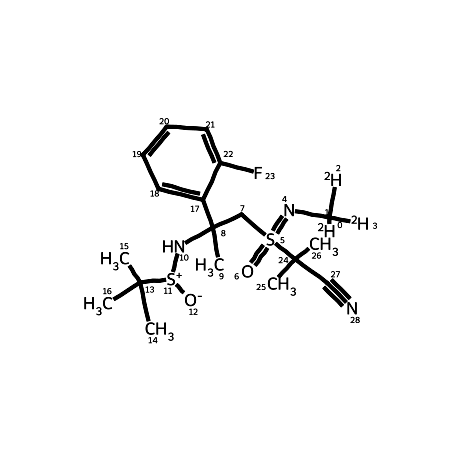 [2H]C([2H])([2H])N=S(=O)(CC(C)(N[S+]([O-])C(C)(C)C)c1ccccc1F)C(C)(C)C#N